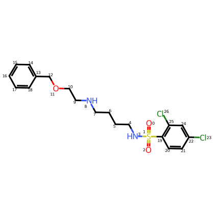 O=S(=O)(NCCCCNCCOCc1ccccc1)c1ccc(Cl)cc1Cl